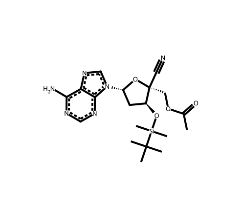 CC(=O)OC[C@@]1(C#N)O[C@@H](n2cnc3c(N)ncnc32)C[C@@H]1O[Si](C)(C)C(C)(C)C